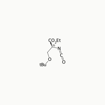 CCOC(=O)[C@H](COC(C)(C)C)N=C=O